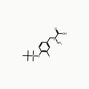 CC(C)(C)[Si](C)(C)Oc1ccc(C[C@H](N)C(=O)O)cc1I